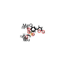 CCCOc1c(OC)cc(C2CCC(=O)O2)cc1S(=O)(=O)CCO[Si](C)(C)C(C)(C)C